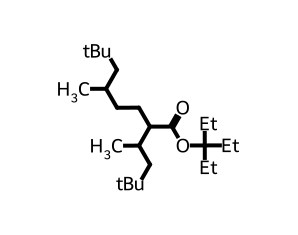 CCC(CC)(CC)OC(=O)C(CCC(C)CC(C)(C)C)C(C)CC(C)(C)C